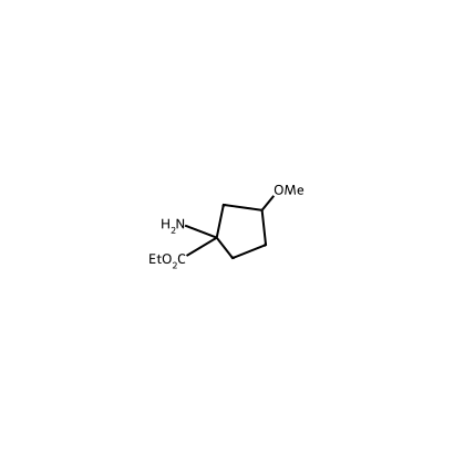 CCOC(=O)C1(N)CCC(OC)C1